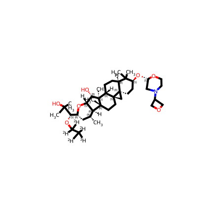 [2H]C([2H])([2H])C([2H])([2H])O[C@@H]([C@H]1C[C@@H](C)[C@H]2[C@H](O1)[C@H](O)[C@@]1(C)[C@@H]3CC[C@H]4C(C)(C)[C@@H](O[C@H]5CN(C6COC6)CCO5)CC[C@@]45C[C@@]35CC[C@]21C)C(C)(C)O